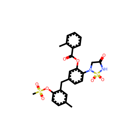 Cc1ccc(OS(C)(=O)=O)c(Cc2ccc(N3CC(=O)NS3(=O)=O)c(OC(=O)c3ccccc3C)c2)c1